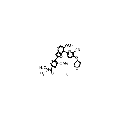 COc1cc(C(=O)N(C)C)cnc1-c1cc2ncc(OC)c(-c3ccc(OC4CCOCC4)c(C#N)n3)c2o1.Cl